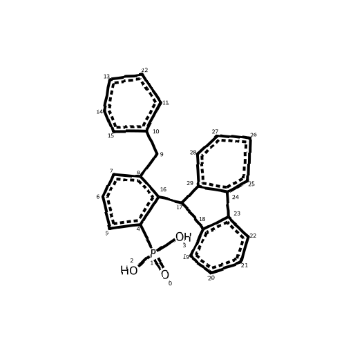 O=P(O)(O)c1cccc(Cc2ccccc2)c1C1c2ccccc2-c2ccccc21